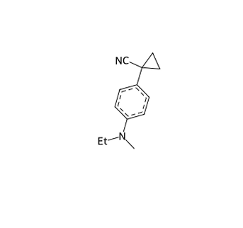 CCN(C)c1ccc(C2(C#N)CC2)cc1